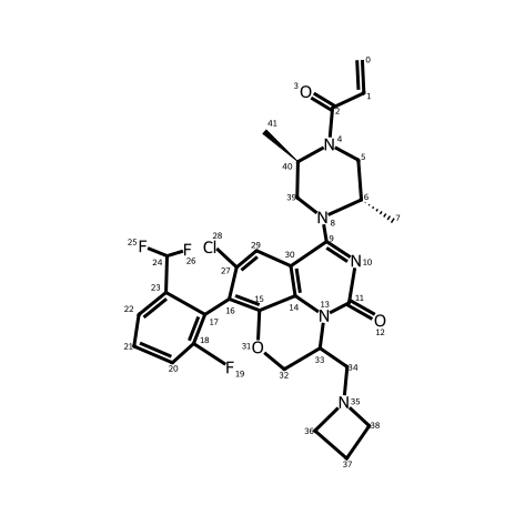 C=CC(=O)N1C[C@H](C)N(c2nc(=O)n3c4c(c(-c5c(F)cccc5C(F)F)c(Cl)cc24)OCC3CN2CCC2)C[C@H]1C